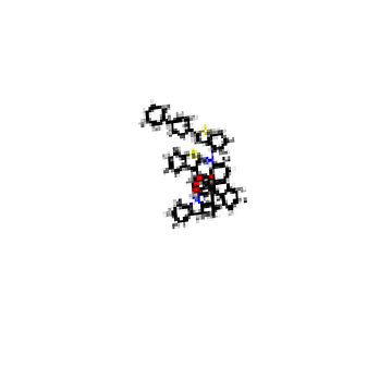 c1ccc(-c2ccc(-c3cc4c(N(c5ccc6c(c5)C5(c7ccccc7-6)c6ccccc6-n6c7ccccc7c7cccc5c76)c5sc6ccccc6c5-c5ccccc5)cccc4s3)cc2)cc1